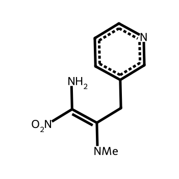 CNC(Cc1cccnc1)=C(N)[N+](=O)[O-]